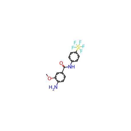 COc1cc(C(=O)Nc2ccc(S(F)(F)(F)(F)F)cc2)ccc1N